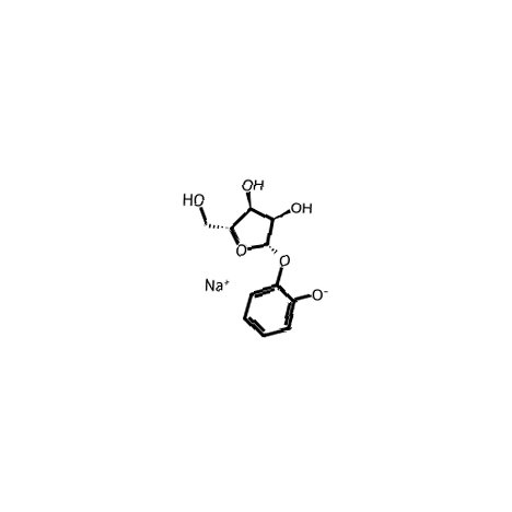 [Na+].[O-]c1ccccc1O[C@@H]1O[C@H](CO)[C@@H](O)[C@H]1O